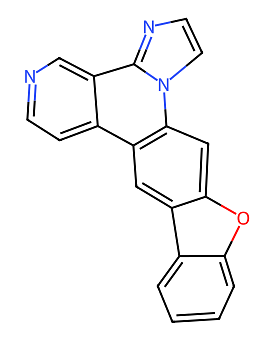 c1ccc2c(c1)oc1cc3c(cc12)c1ccncc1c1nccn31